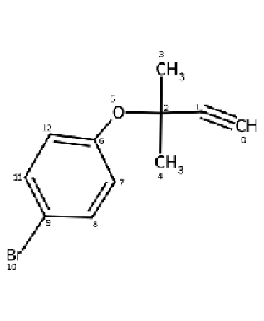 C#CC(C)(C)Oc1ccc(Br)cc1